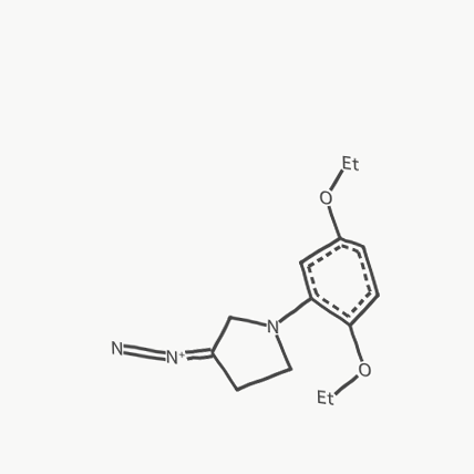 CCOc1ccc(OCC)c(N2CCC(=[N+]=[N-])C2)c1